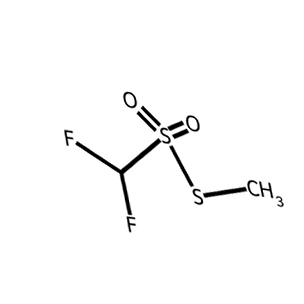 CSS(=O)(=O)C(F)F